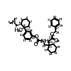 CN(C)C[C@H]1CCCC[C@]1(O)c1cccc(OC(=O)NCC2(CC(=O)OCc3ccccc3)CCCCC2)c1